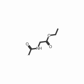 [CH2]C(=O)NCC(=O)OCC